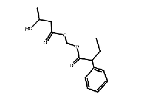 CCC(C(=O)OCOC(=O)CC(C)O)c1ccccc1